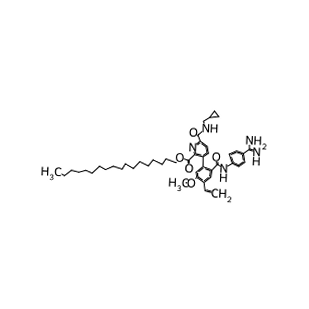 C=Cc1cc(C(=O)Nc2ccc(C(=N)N)cc2)c(-c2ccc(C(=O)NCC3CC3)nc2C(=O)OCCCCCCCCCCCCCCCCCC)cc1OC